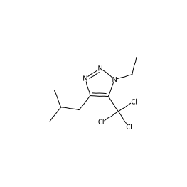 CCn1nnc(CC(C)C)c1C(Cl)(Cl)Cl